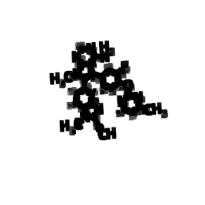 C#Cc1nc2cc(-c3c(-c4ccc(Oc5nccc(C)n5)c(F)c4)c4c(N)ncnc4n3C)ccc2n1C